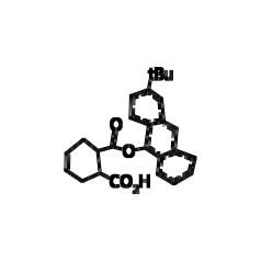 CC(C)(C)c1ccc2c(OC(=O)C3CC=CCC3C(=O)O)c3ccccc3cc2c1